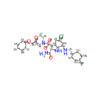 NC(=O)c1[nH]c2c(NCc3ccc(F)cc3)cc(Cl)cc2c1S(=O)(=O)N1CCO[C@H](COc2ccccc2)C1